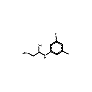 CNCC(O)Nc1cc(F)cc(F)c1